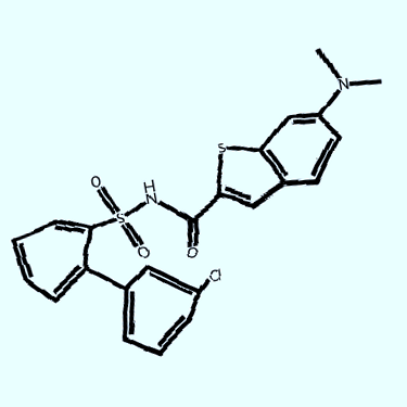 CN(C)c1ccc2cc(C(=O)NS(=O)(=O)c3ccccc3-c3cccc(Cl)c3)sc2c1